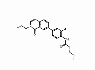 CCCCC(=O)Nc1ccc(-c2ccc3ccn(CCC)c(=O)c3c2)cc1F